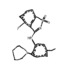 Cc1ccc(N2CCCC2)c(NC2=NS(=O)(=O)c3cccc(F)c32)c1